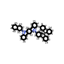 c1ccc([Si]2(c3ccccc3)c3ccccc3-c3ccc(-n4c5ccccc5c5cc6c(cc54)c4ccccc4n6-c4ccc5ccccc5c4)cc32)cc1